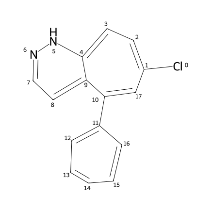 ClC1=CC=C2NN=CC=C2C(c2ccccc2)=C1